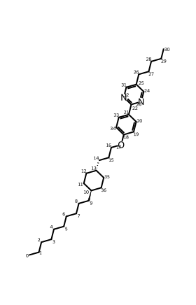 CCCCCCCCCC[C@H]1CC[C@H](CCCOc2ccc(-c3ncc(CCCCC)cn3)cc2)CC1